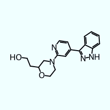 OCCC1CN(c2cc(-c3n[nH]c4ccccc34)ccn2)CCO1